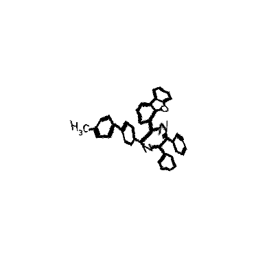 Cc1ccc(-c2ccc(-c3nc(-c4ccccc4)c(-c4ccccc4)nc3-c3cccc4c3oc3ccccc34)cc2)cc1